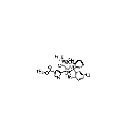 COc1ccccc1C1(N[C@@H](Cc2cn(C(=O)OC(C)(C)C)cn2)C(=O)N(C)C)C(=O)Nc2ccc(Cl)cc21